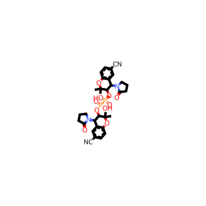 CC1(C)Oc2ccc(C#N)cc2C(N2CCCC2=O)C1OP(=O)(O)P(=O)(O)OC1C(N2CCCC2=O)c2cc(C#N)ccc2OC1(C)C